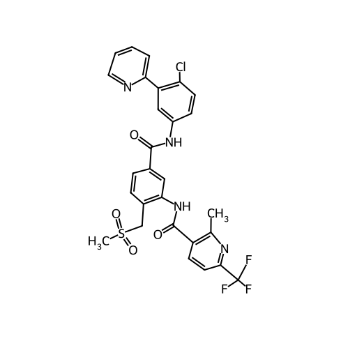 Cc1nc(C(F)(F)F)ccc1C(=O)Nc1cc(C(=O)Nc2ccc(Cl)c(-c3ccccn3)c2)ccc1CS(C)(=O)=O